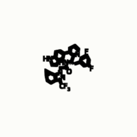 O=C(Cn1nc(C(F)(F)F)c2c1C1CC1CC2)N[C@@H](Cc1cc(F)cc(F)c1)c1ncccc1-c1ccc2[nH]ccc2c1